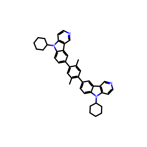 Cc1cc(-c2ccc3c(c2)c2cnccc2n3C2CCCCC2)c(C)cc1-c1ccc2c(c1)c1cnccc1n2C1CCCCC1